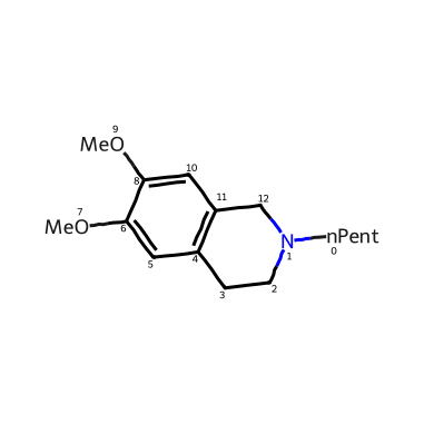 CCCCCN1CCc2cc(OC)c(OC)cc2C1